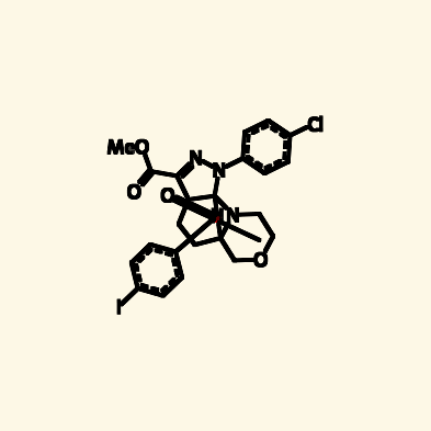 COC(=O)C1=NN(c2ccc(Cl)cc2)C23C(=O)N(c4ccc(I)cc4)C4(CCC12)COCCN43